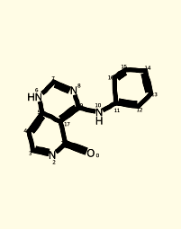 O=c1nccc2[nH]cnc(Nc3ccccc3)c1-2